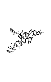 COc1cc2c(N3C[C@H](C)N(C(=O)OC(C)(C)C)[C@@H](C)C3)ccc(C(=O)Nc3cc4cn(C)nc4cc3OC)n2n1